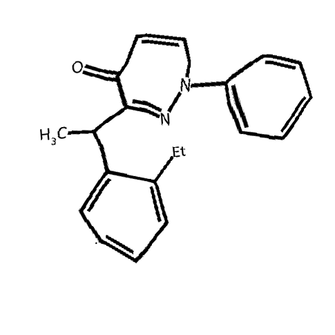 CCc1cc[c]cc1C(C)c1nn(-c2ccccc2)ccc1=O